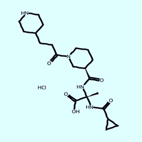 C[C@](NC(=O)C1CC1)(NC(=O)[C@@H]1CCCN(C(=O)CCC2CCNCC2)C1)C(=O)O.Cl